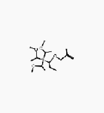 C=C(C)COC(CC)[Si](C(C)OC)(C(C)OC)C(C)OC